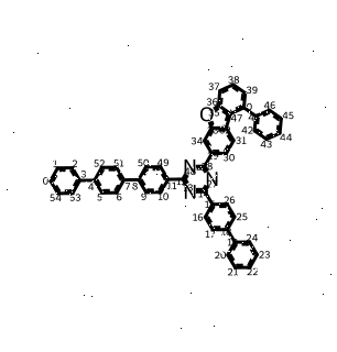 c1ccc(-c2ccc(-c3ccc(-c4nc(-c5ccc(-c6ccccc6)cc5)nc(-c5ccc6c(c5)oc5cccc(-c7ccccc7)c56)n4)cc3)cc2)cc1